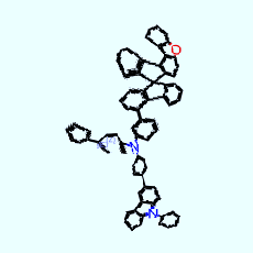 C=C(/C=C\C(=C/C)c1ccccc1)N(c1ccc(-c2ccc3c(c2)c2ccccc2n3-c2ccccc2)cc1)c1cccc(-c2cccc3c2-c2ccccc2C32c3ccccc3-c3c2ccc2oc4ccccc4c32)c1